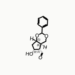 O=C[C@H]1[C@@H]2COC(c3ccccc3)O[C@H]2C[C@H]1O